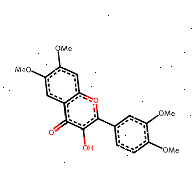 COc1ccc(-c2oc3cc(OC)c(OC)cc3c(=O)c2O)cc1OC